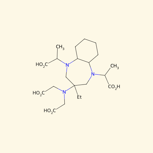 CCC1(N(CC(=O)O)CC(=O)O)CN(C(C)C(=O)O)C2CCCCC2N(C(C)C(=O)O)C1